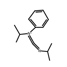 CC(C)N=C=[N+](c1ccccc1)C(C)C